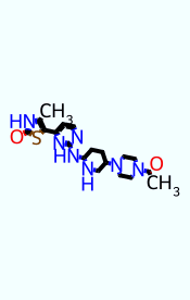 CC(=O)N1CCN(C2CCC(Nc3nccc(-c4sc(=O)[nH]c4C)n3)NC2)CC1